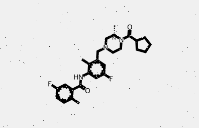 Cc1ccc(F)cc1C(=O)Nc1cc(F)cc(CN2CCN(C(=O)C3CCCC3)[C@@H](C)C2)c1C